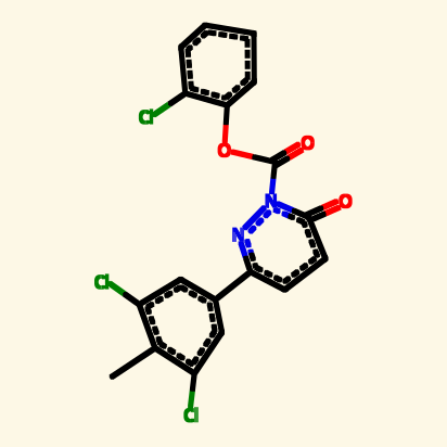 Cc1c(Cl)cc(-c2ccc(=O)n(C(=O)Oc3ccccc3Cl)n2)cc1Cl